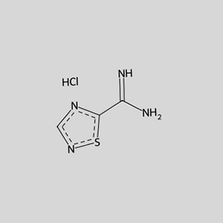 Cl.N=C(N)c1ncns1